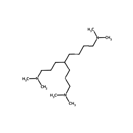 CN(C)CCCC[C](CCCN(C)C)CCCN(C)C